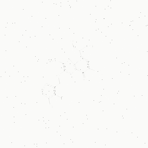 COc1cc2c(cc1OCc1cccc(Cl)c1F)c(=O)c(C(=O)O)cn2C(CO)C(C)(C)C